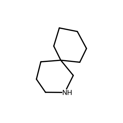 C1CCC2(CC1)CCCNC2